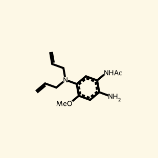 C=CCN(CC=C)c1cc(NC(C)=O)c(N)cc1OC